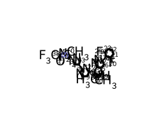 C/S(Cn1cc(-c2nccc([C@@]34CC[C@@H](c5cc(-c6c(F)cccc6F)nnc53)C4(C)C)n2)cn1)=N/C(=O)C(F)(F)F